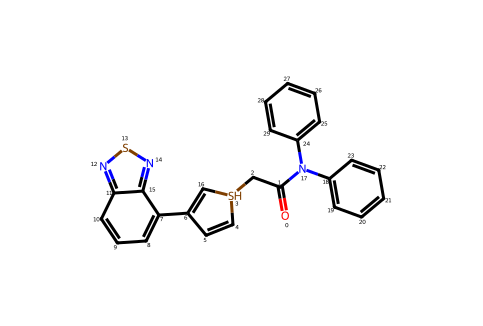 O=C(C[SH]1C=CC(c2cccc3nsnc23)=C1)N(c1ccccc1)c1ccccc1